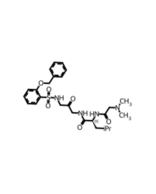 CC(C)C[C@H](NC(=O)CN(C)C)C(=O)NCC(=O)CNS(=O)(=O)c1ccccc1OCc1ccccc1